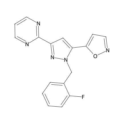 Fc1ccccc1Cn1nc(-c2ncccn2)cc1-c1ccno1